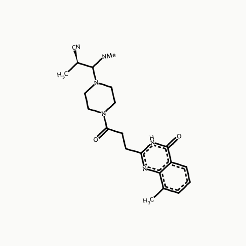 CNC([C@@H](C)C#N)N1CCN(C(=O)CCc2nc3c(C)cccc3c(=O)[nH]2)CC1